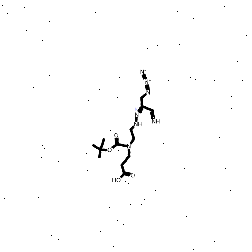 CC(C)(C)OC(=O)N(CCN/N=C(\C=N)CN=[N+]=[N-])CCC(=O)O